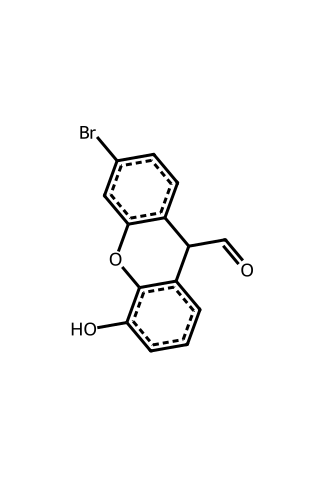 O=CC1c2ccc(Br)cc2Oc2c(O)cccc21